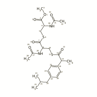 COC(=O)C(CSC(=O)C(CSC(=O)C(C)c1ccc(CC(C)C)cc1)NC(C)=O)NC(C)=O